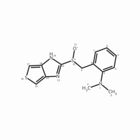 CN(C)c1ccccc1C[S+]([O-])c1nc2cscc2[nH]1